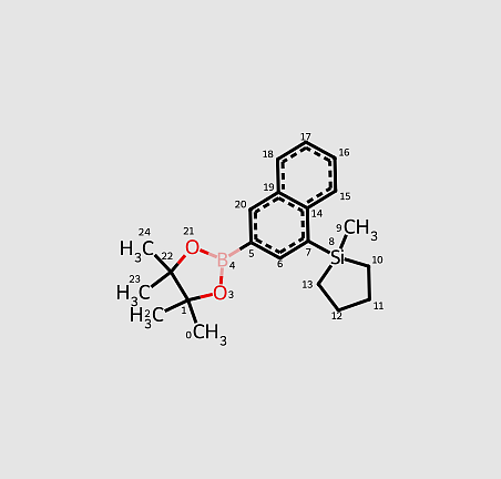 CC1(C)OB(c2cc([Si]3(C)CCCC3)c3ccccc3c2)OC1(C)C